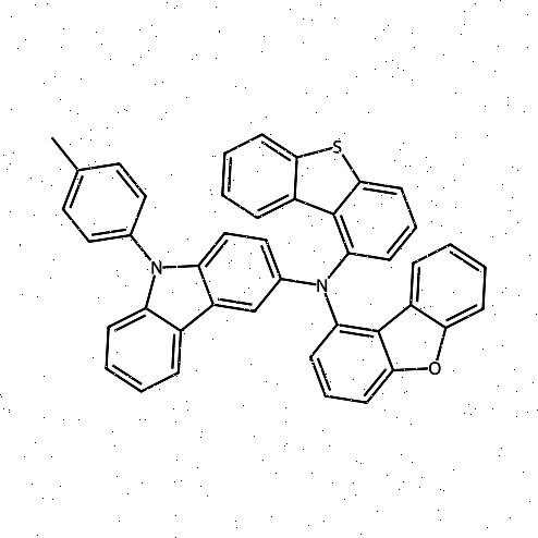 Cc1ccc(-n2c3ccccc3c3cc(N(c4cccc5oc6ccccc6c45)c4cccc5sc6ccccc6c45)ccc32)cc1